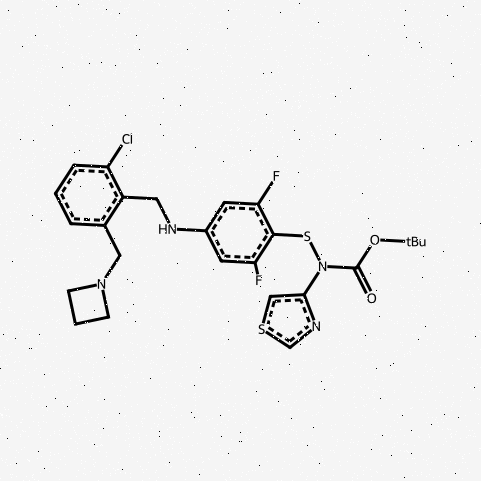 CC(C)(C)OC(=O)N(Sc1c(F)cc(NCc2c(Cl)cccc2CN2CCC2)cc1F)c1cscn1